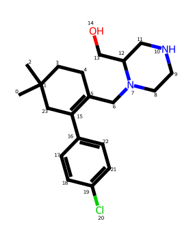 CC1(C)CCC(CN2CCNCC2CO)=C(c2ccc(Cl)cc2)C1